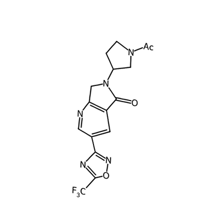 CC(=O)N1CCC(N2Cc3ncc(-c4noc(C(F)(F)F)n4)cc3C2=O)C1